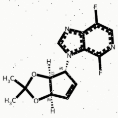 CC1(C)O[C@H]2[C@H](n3cnc4c(F)cnc(F)c43)C=C[C@H]2O1